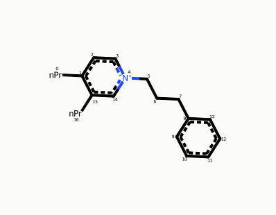 CCCc1cc[n+](CCCc2ccccc2)cc1CCC